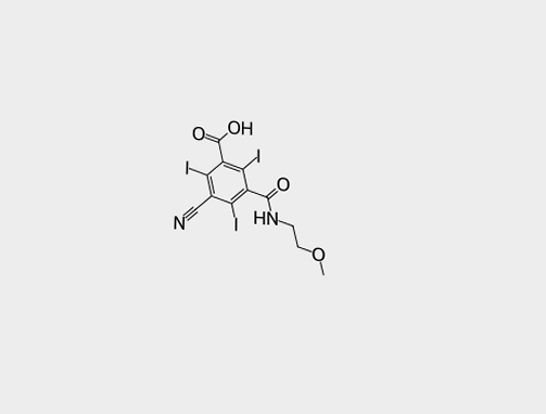 COCCNC(=O)c1c(I)c(C#N)c(I)c(C(=O)O)c1I